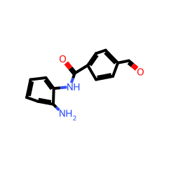 Nc1ccccc1NC(=O)c1ccc(C=O)cc1